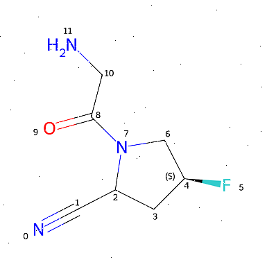 N#CC1C[C@H](F)CN1C(=O)CN